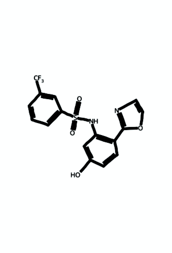 O=S(=O)(Nc1cc(O)ccc1-c1ncco1)c1cccc(C(F)(F)F)c1